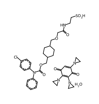 O.O=C(COCC1CCC(COC(=O)N(c2ccccc2)c2ccc(Cl)cc2)CC1)NCCS(=O)(=O)O.O=C1C=C(N2CC2)C(=O)C(N2CC2)=C1N1CC1